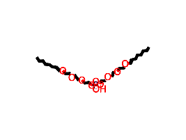 CCCCCCC=COCCOCCOCCOP(=O)(O)OCCOCCOCCOC=CCCCCCC